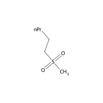 C[CH]CCCS(C)(=O)=O